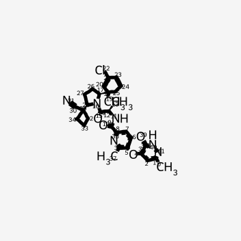 Cc1cc(Oc2ccc(C(=O)N[C@H](C)C(=O)N3[C@H](C4(C)C=C(Cl)C=CC4)CC[C@@H]3C3(C#N)CCC3)nc2C)c(=O)[nH]n1